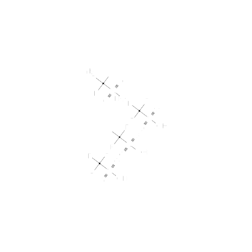 O=S(=O)(O)C(F)(F)F.O=S(=O)(O)C(F)(F)F.O=S(=O)(O)C(F)(F)F.O=S(=O)(O)C(F)(F)F.[Yb]